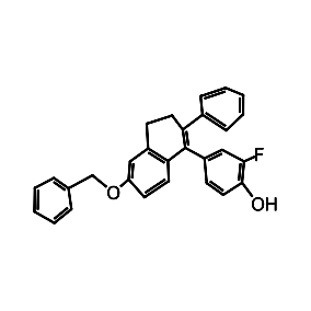 Oc1ccc(C2=C(c3ccccc3)CCc3cc(OCc4ccccc4)ccc32)cc1F